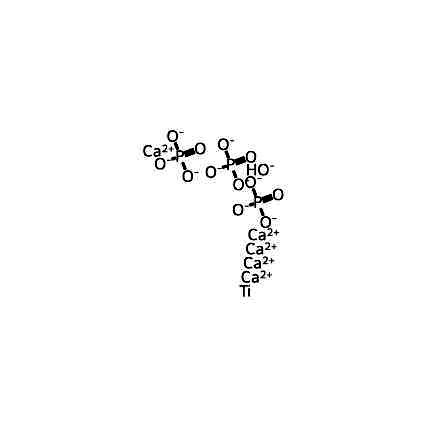 O=P([O-])([O-])[O-].O=P([O-])([O-])[O-].O=P([O-])([O-])[O-].[Ca+2].[Ca+2].[Ca+2].[Ca+2].[Ca+2].[OH-].[Ti]